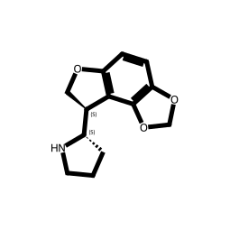 c1cc2c(c3c1OCO3)[C@@H]([C@@H]1CCCN1)CO2